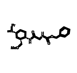 COC[C@@H]1C[C@H](N(C)C(C)C)CC[C@@H]1NC(=O)CNC(=O)OCc1ccccc1